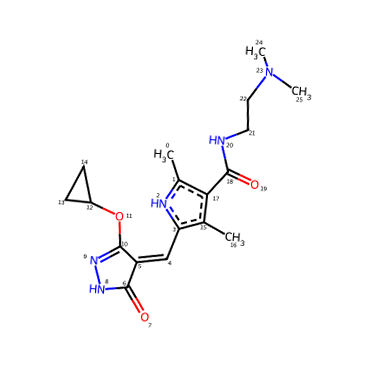 Cc1[nH]c(/C=C2/C(=O)NN=C2OC2CC2)c(C)c1C(=O)NCCN(C)C